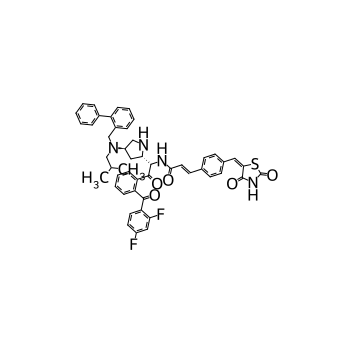 CC(C)CN(Cc1ccccc1-c1ccccc1)[C@H]1CN[C@H](C(NC(=O)C=Cc2ccc(C=C3SC(=O)NC3=O)cc2)C(=O)c2ccccc2C(=O)c2ccc(F)cc2F)C1